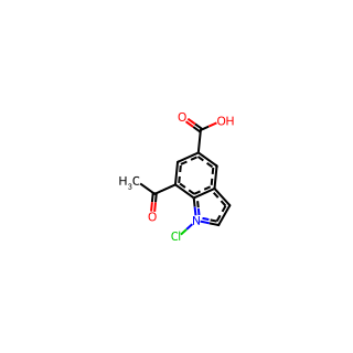 CC(=O)c1cc(C(=O)O)cc2ccn(Cl)c12